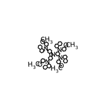 COc1cccc(N(c2cc(N(c3cccc(OC)c3)c3cccc4ccccc34)cc(-n3c4ccc(N(c5cccc(OC)c5)c5cccc6ccccc56)cc4c4cc(N(c5cccc(OC)c5)c5cccc6ccccc56)ccc43)c2)c2cccc3ccccc23)c1